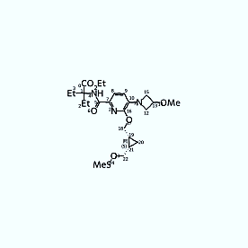 CCOC(=O)C(CC)(CC)NC(=O)c1ccc(N2CC(OC)C2)c(OC[C@@H]2C[C@@H]2COSC)n1